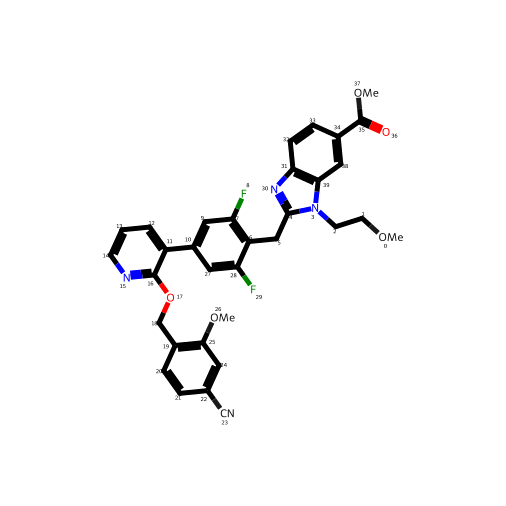 COCCn1c(Cc2c(F)cc(-c3cccnc3OCc3ccc(C#N)cc3OC)cc2F)nc2ccc(C(=O)OC)cc21